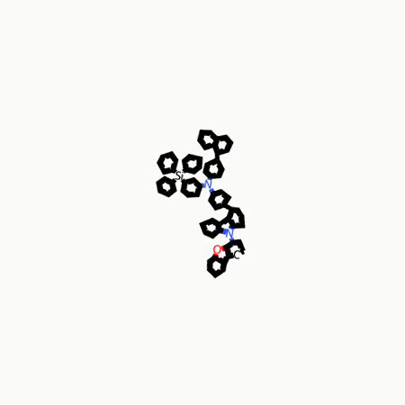 c1ccc([Si](c2ccccc2)(c2ccccc2)c2cccc(N(c3ccc(-c4cccc5ccccc45)cc3)c3ccc(-c4cccc5c4c4ccccc4n5-c4cccc5c4oc4ccccc45)cc3)c2)cc1